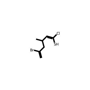 C=C(Br)CC(C)/C=C(\S)Cl